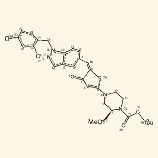 COC[C@H]1CN(C2=NC(=O)C(=Cc3ccc4c(cnn4Cc4ccc(Cl)cc4C(F)(F)F)c3)S2)CCN1C(=O)OC(C)(C)C